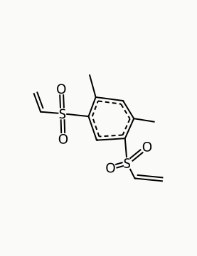 C=CS(=O)(=O)c1cc(S(=O)(=O)C=C)c(C)cc1C